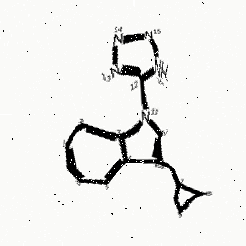 [c]1ccc2c(c1)c(C1CC1)cn2-c1nnn[nH]1